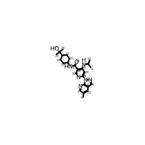 Cc1cnc2c(cnn2-c2cc(NC(C)C)c(C(=O)NC3CCC(C(C)(C)O)CC3)cn2)c1